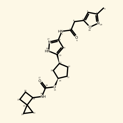 Cc1cc(CC(=O)Nc2cc([C@H]3CC[C@@H](OC(=O)NC4CCC45CC5)C3)[nH]n2)on1